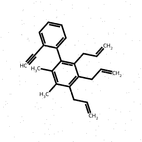 C#Cc1ccccc1-c1c(C)c(C)c(CC=C)c(CC=C)c1CC=C